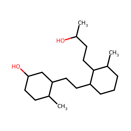 CC(O)CCC1C(C)CCCC1CCC1CC(O)CCC1C